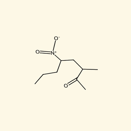 CCCC(CC(C)C(C)=O)[N+](=O)[O-]